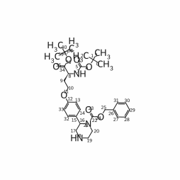 CC(C)(C)OC(=O)N[C@@H](CCOc1ccc(C2CNCCN2C(=O)OCc2ccccc2)cc1)C(=O)OC(C)(C)C